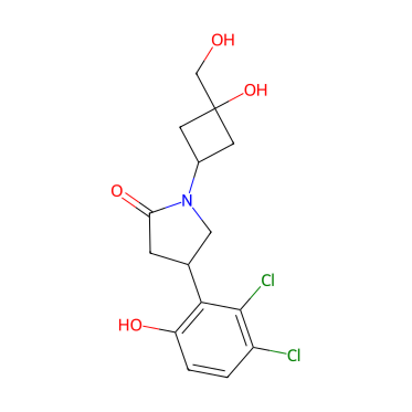 O=C1CC(c2c(O)ccc(Cl)c2Cl)CN1C1CC(O)(CO)C1